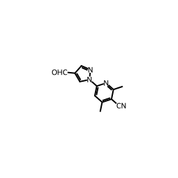 Cc1cc(-n2cc(C=O)cn2)nc(C)c1C#N